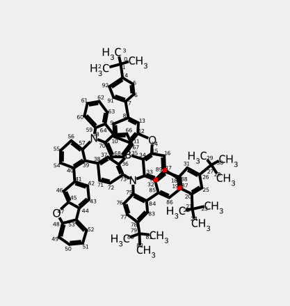 CC(C)(C)c1ccc(-c2ccc3c(c2)Oc2cc(-c4cc(C(C)(C)C)cc(C(C)(C)C)c4)cc4c2B3c2cc(-c3c(-c5ccc6c(c5)oc5ccccc56)cccc3-n3c5ccccc5c5ccccc53)ccc2N4c2ccc(C(C)(C)C)cc2-c2ccccc2)cc1